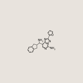 Nc1ncc(C(N)C2Cc3ccccc3C2)c2nc(-c3ccco3)nn12